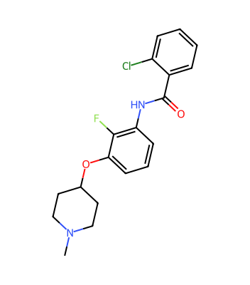 CN1CCC(Oc2cccc(NC(=O)c3ccccc3Cl)c2F)CC1